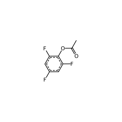 CC(=O)Oc1c(F)cc(F)cc1F